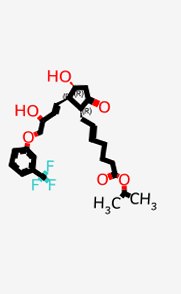 CC(C)OC(=O)CCCC=CC[C@H]1C(=O)C[C@@H](O)[C@@H]1C=CC(O)COc1cccc(C(F)(F)F)c1